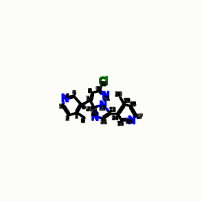 Cc1ccncc1-c1cc(Cl)nn2c(-c3cnccc3C)cnc12